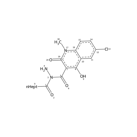 CCCCCCCC(=O)N(N)C(=O)c1c(O)c2cc(Cl)ccc2n(C)c1=O